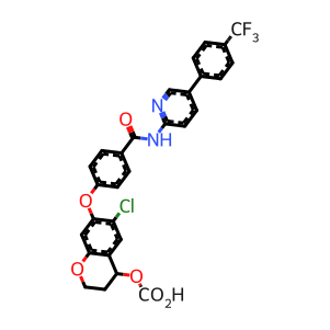 O=C(O)OC1CCOc2cc(Oc3ccc(C(=O)Nc4ccc(-c5ccc(C(F)(F)F)cc5)cn4)cc3)c(Cl)cc21